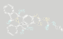 COC(=O)Nc1nc2cc(C3(O)c4ccccc4C(=O)N3[C@](C)(C(=O)O)C3CCCCC3)ccc2[nH]1